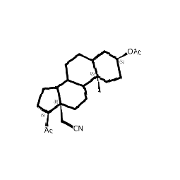 CC(=O)O[C@H]1CC[C@@]2(C)C(CCC3C2CC[C@@]2(CC#N)C3CC[C@@H]2C(C)=O)C1